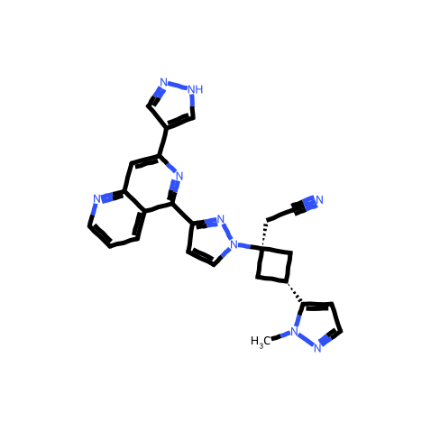 Cn1nccc1[C@H]1C[C@](CC#N)(n2ccc(-c3nc(-c4cn[nH]c4)cc4ncccc34)n2)C1